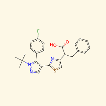 CC(C)(C)n1ncc(-c2nc(C(Cc3ccccc3)C(=O)O)cs2)c1-c1ccc(F)cc1